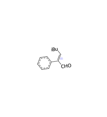 CCC(C)/C=C(/C=O)c1ccccc1